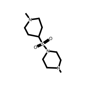 CN1CCC(S(=O)(=O)N2CCN(C)CC2)CC1